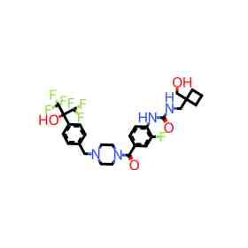 O=C(NCC1(CO)CCC1)Nc1ccc(C(=O)N2CCN(Cc3ccc(C(O)(C(F)(F)F)C(F)(F)F)cc3)CC2)cc1F